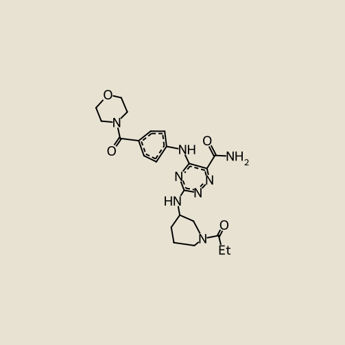 CCC(=O)N1CCCC(Nc2nnc(C(N)=O)c(Nc3ccc(C(=O)N4CCOCC4)cc3)n2)C1